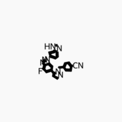 N#Cc1ccc(Cn2nccc2-c2cc(F)c3nnn(-c4ccc5nc[nH]c5c4)c3c2)cc1